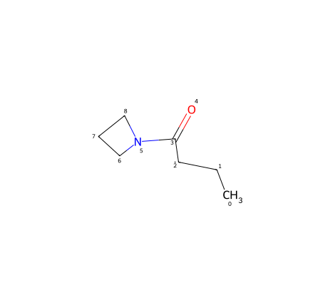 CC[CH]C(=O)N1CCC1